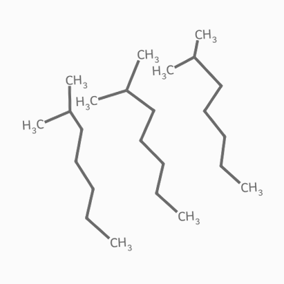 CCCCCC(C)C.CCCCCC(C)C.CCCCCC(C)C